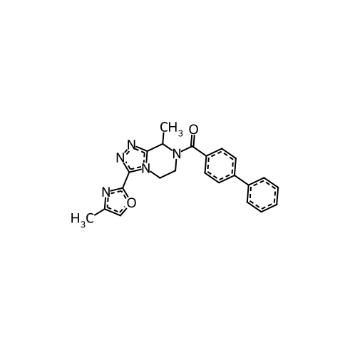 Cc1coc(-c2nnc3n2CCN(C(=O)c2ccc(-c4ccccc4)cc2)C3C)n1